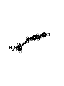 Nc1nc(Cl)nc2c1ncn2CCCCOC(=O)NCc1ccc(S(=O)(=O)NCc2ccc(Cl)cc2)cc1